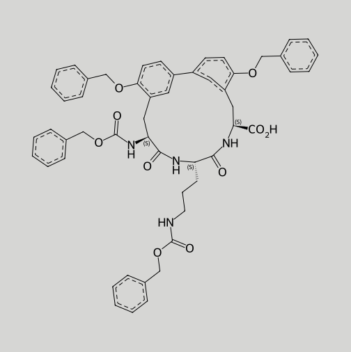 O=C(NCCC[C@@H]1NC(=O)[C@@H](NC(=O)OCc2ccccc2)Cc2cc(ccc2OCc2ccccc2)-c2ccc(OCc3ccccc3)c(c2)C[C@@H](C(=O)O)NC1=O)OCc1ccccc1